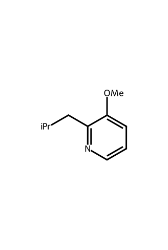 COc1cccnc1CC(C)C